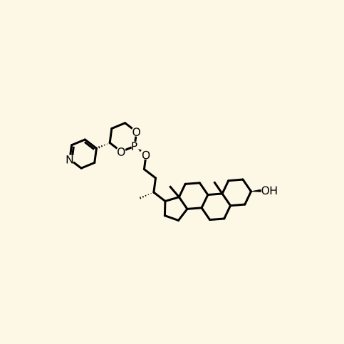 C[C@H](CCO[P@@]1OCC[C@@H](C2=CC=NCC2)O1)C1CCC2C3CCC4C[C@H](O)CCC4(C)C3CCC21C